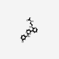 CC(=O)NCCNc1ncccc1-c1ccnc(Nc2cccc(Cl)c2)n1